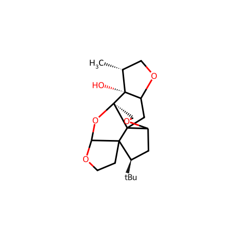 C[C@@H]1COC2CC34C5C[C@@H](C(C)(C)C)C36CCOC6O[C@@]4(CO5)[C@]21O